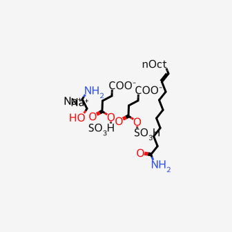 CCCCCCCCC=CCCCCCCCC(N)=O.NCCO.O=C([O-])CCC(=O)OS(=O)(=O)O.O=C([O-])CCC(=O)OS(=O)(=O)O.[Na+].[Na+]